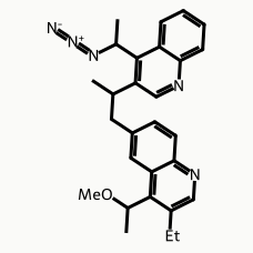 CCc1cnc2ccc(CC(C)c3cnc4ccccc4c3C(C)N=[N+]=[N-])cc2c1C(C)OC